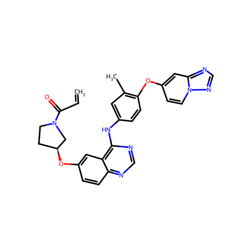 C=CC(=O)N1CC[C@H](Oc2ccc3ncnc(Nc4ccc(Oc5ccn6ncnc6c5)c(C)c4)c3c2)C1